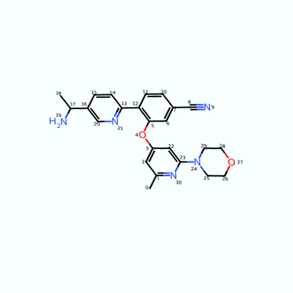 Cc1cc(Oc2cc(C#N)ccc2-c2ccc(C(C)N)cn2)cc(N2CCOCC2)n1